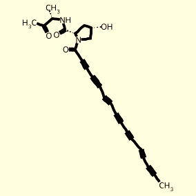 CC#CC#CC#CC#CC#CC#CC#CC(=O)N1C[C@@H](O)C[C@H]1C(=O)N[C@@H](C)C(C)=O